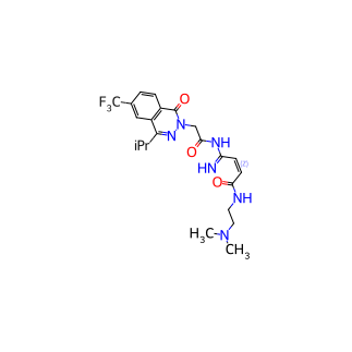 CC(C)c1nn(CC(=O)NC(=N)/C=C\C(=O)NCCN(C)C)c(=O)c2ccc(C(F)(F)F)cc12